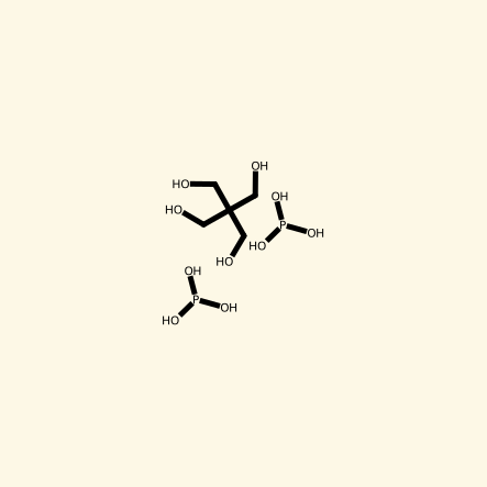 OCC(CO)(CO)CO.OP(O)O.OP(O)O